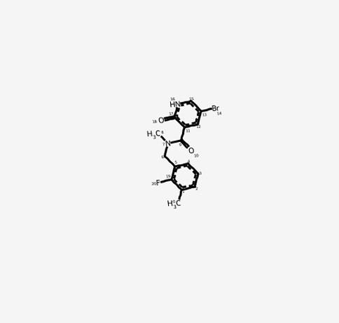 Cc1cccc(CN(C)C(=O)c2cc(Br)c[nH]c2=O)c1F